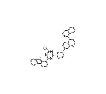 Clc1nc(-c2cccc(-c3ccc4c(-c5cccc6ccccc56)cccc4c3)c2)nc(-c2cccc3c2oc2ccccc23)n1